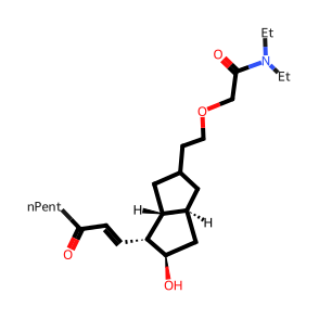 CCCCCC(=O)C=C[C@@H]1[C@@H]2CC(CCOCC(=O)N(CC)CC)C[C@H]2C[C@H]1O